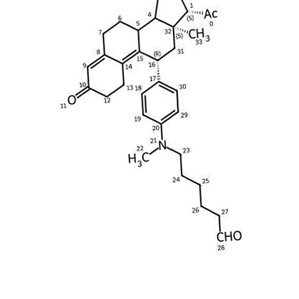 CC(=O)[C@H]1CCC2C3CCC4=CC(=O)CCC4=C3[C@@H](c3ccc(N(C)CCCCCC=O)cc3)C[C@@]21C